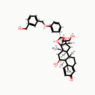 C[C@]12C=CC(=O)C=C1CC[C@@H]1[C@@H]2[C@@H](O)C[C@@]2(C)[C@H]1C[C@H]1O[C@@H](c3cccc(OCc4cccc(CO)c4)c3)O[C@]12C(=O)CO